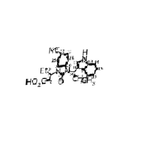 CCC(CC(=O)O)n1c(=O)n([C@@H](C)c2c[nH]c3cccc(C)c23)c2ccc(C#N)cc21